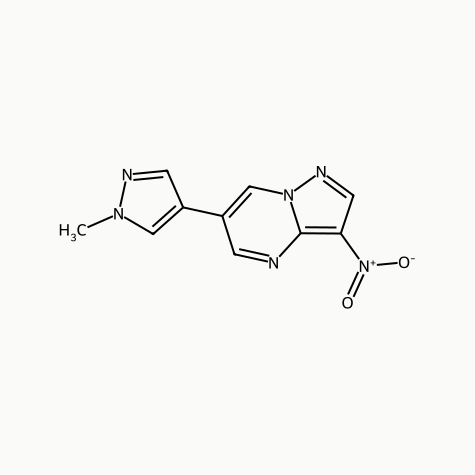 Cn1cc(-c2cnc3c([N+](=O)[O-])cnn3c2)cn1